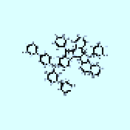 c1ccc(-c2ccc(N(c3cccc(-c4ccccc4)c3)c3ccc4c5c6c7ccc8ccccc8c7n(-c7ccccc7)c6c6ccccc6c5n(-c5ccccc5)c4c3)cc2)cc1